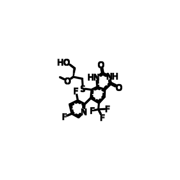 CO[C@@H](CO)CSc1c(-c2ncc(F)cc2F)c(C(F)(F)F)cc2c(=O)[nH]c(=O)[nH]c12